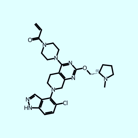 C=CC(=O)N1CCN(c2nc(OC[C@@H]3CCCN3C)nc3c2CCN(c2c(Cl)ccc4[nH]ncc24)C3)CC1